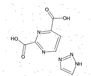 O=C(O)c1ccnc(C(=O)O)n1.c1c[nH]nn1